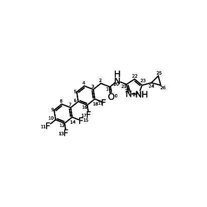 O=C(Cc1ccc(-c2ccc(F)c(F)c2F)c(F)c1F)Nc1cc(C2CC2)[nH]n1